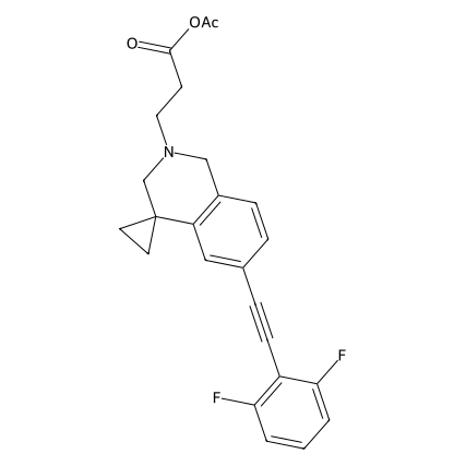 CC(=O)OC(=O)CCN1Cc2ccc(C#Cc3c(F)cccc3F)cc2C2(CC2)C1